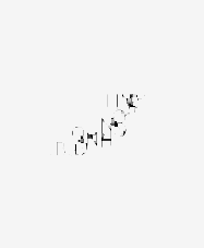 CC(C)(C)OC(=O)NCCNC(=O)OC[C@@H]1CCCN1